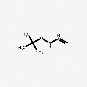 CC(C)(C)ON[SH]=O